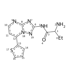 CCC(N)C(=O)Nc1nc2nccc(-c3cccs3)n2n1